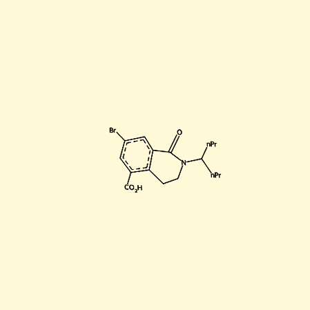 CCCC(CCC)N1CCc2c(C(=O)O)cc(Br)cc2C1=O